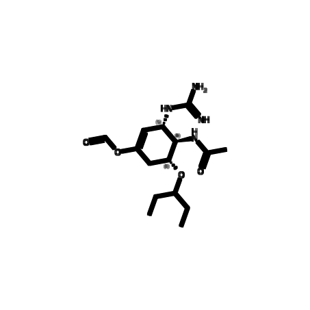 CCC(CC)O[C@@H]1CC(OC=O)=C[C@H](NC(=N)N)[C@H]1NC(C)=O